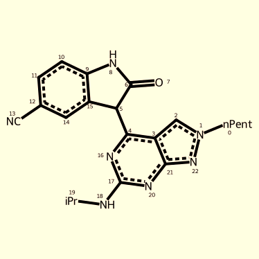 CCCCCn1cc2c(C3C(=O)Nc4ccc(C#N)cc43)nc(NC(C)C)nc2n1